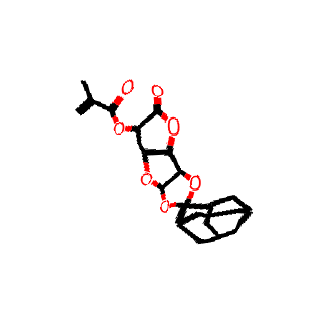 C=C(C)C(=O)OC1C(=O)OC2C3OC4(OC3OC12)C1CC2CC(C1)CC4C2